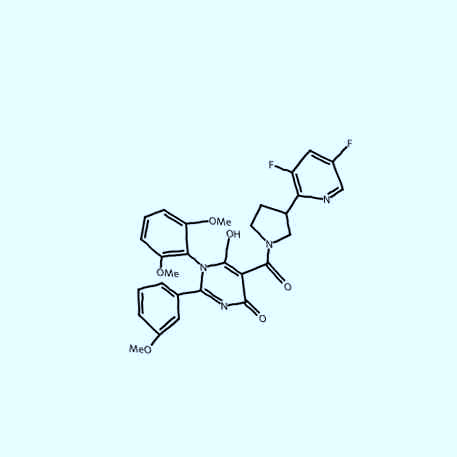 COc1cccc(-c2nc(=O)c(C(=O)N3CCC(c4ncc(F)cc4F)C3)c(O)n2-c2c(OC)cccc2OC)c1